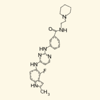 Cc1cc2c(F)c(Nc3ccnc(Nc4cccc(C(=O)NCCN5CCCCC5)c4)n3)ccc2[nH]1